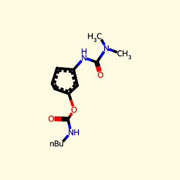 CCCCNC(=O)Oc1cccc(NC(=O)N(C)C)c1